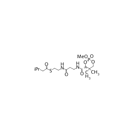 COP1(=O)OCC(C)(C)[C@H](C(=O)NCCC(=O)NCCSC(=O)CC(C)C)O1